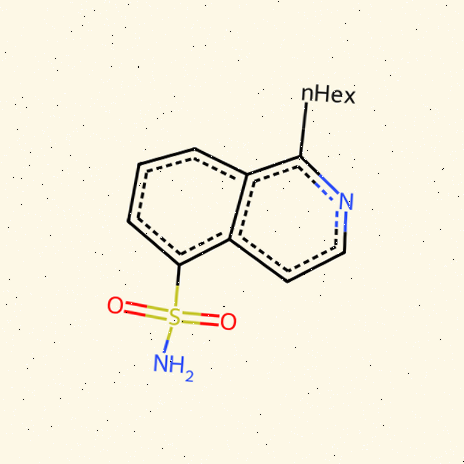 CCCCCCc1nccc2c(S(N)(=O)=O)cccc12